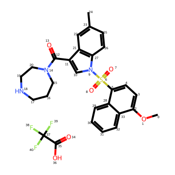 COc1ccc(S(=O)(=O)n2cc(C(=O)N3CCCNCC3)c3cc(C)ccc32)c2ccccc12.O=C(O)C(F)(F)F